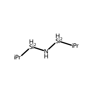 CC(C)[SiH2]N[SiH2]C(C)C